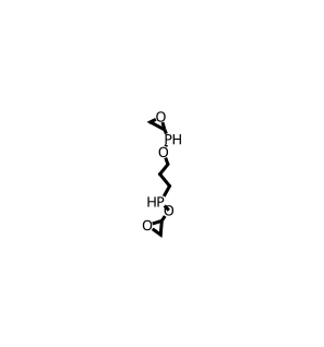 C(COPC1CO1)CPOC1CO1